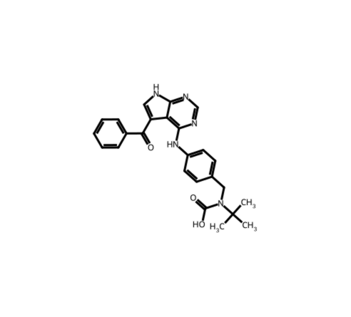 CC(C)(C)N(Cc1ccc(Nc2ncnc3[nH]cc(C(=O)c4ccccc4)c23)cc1)C(=O)O